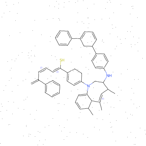 C=C(/C=C\C=C(/S)C1=CC=C(N2CC(Nc3ccc(C4C=CC=C(c5ccccc5)C4)cc3)C(C)/C=C(\C)C3C2=CC=CC3C)CC1)c1ccccc1